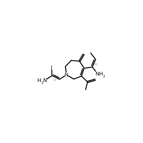 C=C(C)C1=C(/C(N)=C\C)C(=C)CCN(/C=C(/N)I)C1